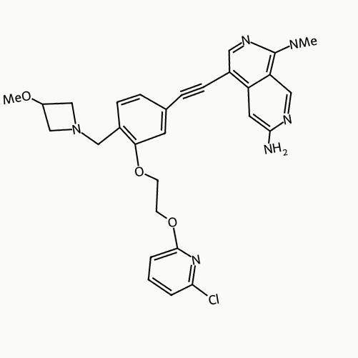 CNc1ncc(C#Cc2ccc(CN3CC(OC)C3)c(OCCOc3cccc(Cl)n3)c2)c2cc(N)ncc12